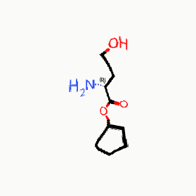 N[C@H](CCO)C(=O)OC1CCCC1